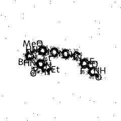 CCc1ncc2c(P(C)(C)=O)c(Nc3nc(Nc4cc(CC)c(N5CCC(N6CCN([C@H]7CCN(c8cc(F)c(C9CCC(=O)NC9=O)c(F)c8)C7)CC6)CC5)cc4OC)ncc3Br)ccc2n1